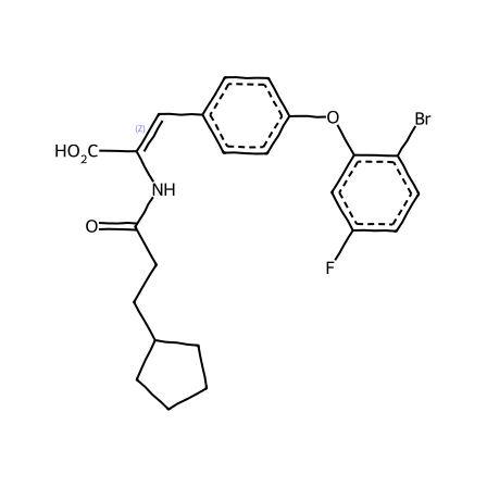 O=C(CCC1CCCC1)N/C(=C\c1ccc(Oc2cc(F)ccc2Br)cc1)C(=O)O